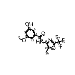 COc1cc(O)cc(C(=O)Nc2nc(C(F)(F)F)oc2C)c1